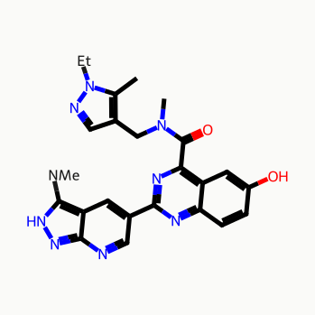 CCn1ncc(CN(C)C(=O)c2nc(-c3cnc4n[nH]c(NC)c4c3)nc3ccc(O)cc23)c1C